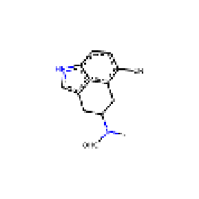 CN(C=O)C1Cc2c[nH]c3ccc(C#N)c(c23)C1